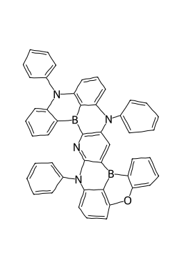 c1ccc(N2c3ccccc3B3c4nc5c(cc4N(c4ccccc4)c4cccc2c43)B2c3ccccc3Oc3cccc(c32)N5c2ccccc2)cc1